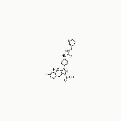 Cc1c(Cc2ccc(F)cc2)c(C(=O)O)nn1-c1ccc(NC(=O)NCc2cccnc2)cc1